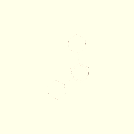 c1cc(C2CCNCC2)nc(N2CCCCC2)n1